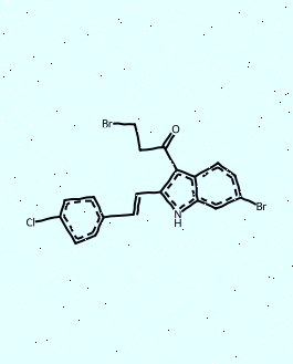 O=C(CCBr)c1c(/C=C/c2ccc(Cl)cc2)[nH]c2cc(Br)ccc12